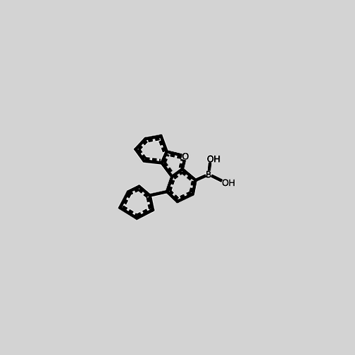 OB(O)c1ccc(-c2ccccc2)c2c1oc1ccccc12